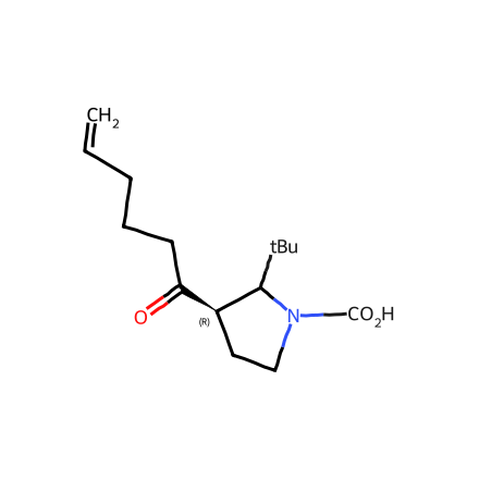 C=CCCCC(=O)[C@@H]1CCN(C(=O)O)C1C(C)(C)C